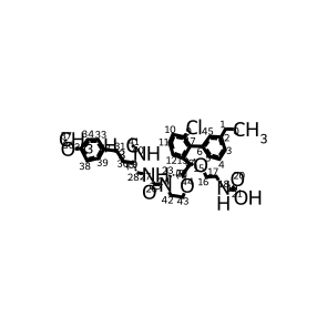 CCc1cccc(-c2c(Cl)cccc2[C@H](OCCNC(=O)O)[C@H]2CN(C(=O)NC[C@H](CCc3ccc(OC)cc3)NC)CCO2)c1